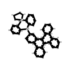 c1ccc2c(c1)N(c1ccc3c4ccccc4c4c5ccccc5c5ccccc5c4c3c1)c1ccccc1[Si]21CCCC1